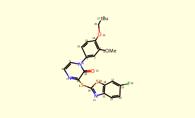 COc1cc(-n2ccnc(Sc3nc4ccc(F)cc4s3)c2=O)ccc1OCC(C)(C)C